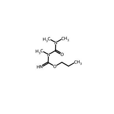 CCCOC(=N)N(C)C(=O)N(C)C